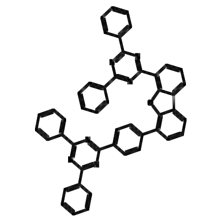 c1ccc(-c2nc(-c3ccccc3)nc(-c3ccc(-c4cccc5c4oc4c(-c6nc(-c7ccccc7)nc(-c7ccccc7)n6)cccc45)cc3)n2)cc1